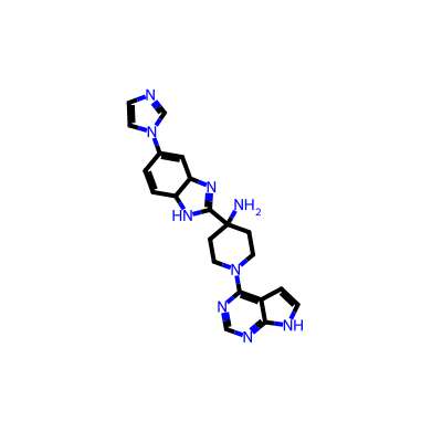 NC1(C2=NC3C=C(n4ccnc4)C=CC3N2)CCN(c2ncnc3[nH]ccc23)CC1